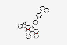 c1ccc(-c2cccc3cccc(-c4ccccc4N(c4ccc(-c5ccc(-c6cccc7ccccc67)cc5)cc4)c4ccc5c(c4)oc4ccccc45)c23)cc1